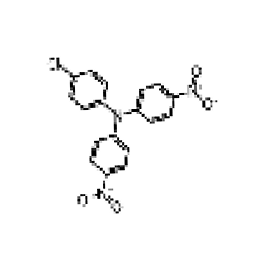 O=[N+]([O-])c1ccc(N(c2ccc(Cl)cc2)c2ccc([N+](=O)[O-])cc2)cc1